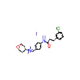 C[N+](C)(Cc1ccc(NC(=O)C=Cc2cccc(Cl)c2)cc1)C1CCOCC1.[I-]